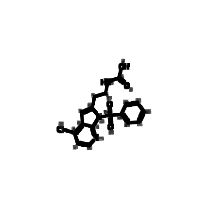 O=C(O)NCCc1cc2c(Cl)ccnc2n1S(=O)(=O)c1ccccc1